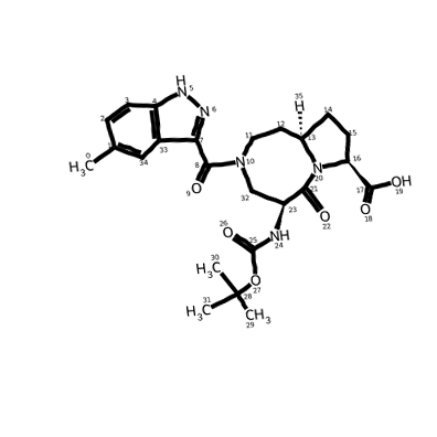 Cc1ccc2[nH]nc(C(=O)N3CC[C@H]4CC[C@@H](C(=O)O)N4C(=O)[C@@H](NC(=O)OC(C)(C)C)C3)c2c1